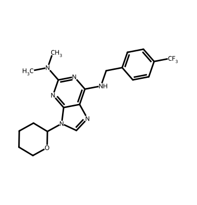 CN(C)c1nc(NCc2ccc(C(F)(F)F)cc2)c2ncn(C3CCCCO3)c2n1